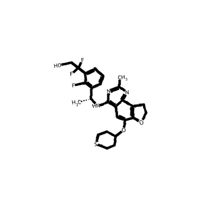 Cc1nc(N[C@H](C)c2cccc(C(F)(F)CO)c2F)c2cc(OC3CCSCC3)c3c(c2n1)CCO3